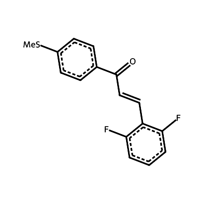 CSc1ccc(C(=O)C=Cc2c(F)cccc2F)cc1